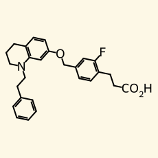 O=C(O)CCc1ccc(COc2ccc3c(c2)N(CCc2ccccc2)CCC3)cc1F